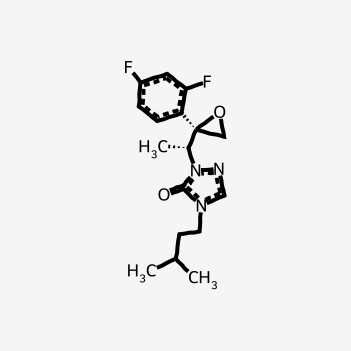 CC(C)CCn1cnn([C@H](C)[C@]2(c3ccc(F)cc3F)CO2)c1=O